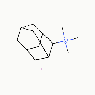 C[N+](C)(C)C1C2CC3CC(C2)CC1C3.[I-]